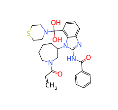 C=CC(=O)N1CCCCC(n2c(NC(=O)c3ccccc3)nc3cccc(C(O)(O)N4CCSCC4)c32)C1